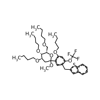 CCCCOC[C@H]1OC(OC)(c2cc(Cc3cc4ccccc4s3)c(OC(F)(F)F)cc2OCCCC)C[C@@H](OCCCC)[C@@H]1OCCCC